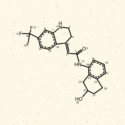 O=C(C=C1CCNc2cc(C(F)(F)F)ccc21)Nc1cccc2c1CC(O)CC2